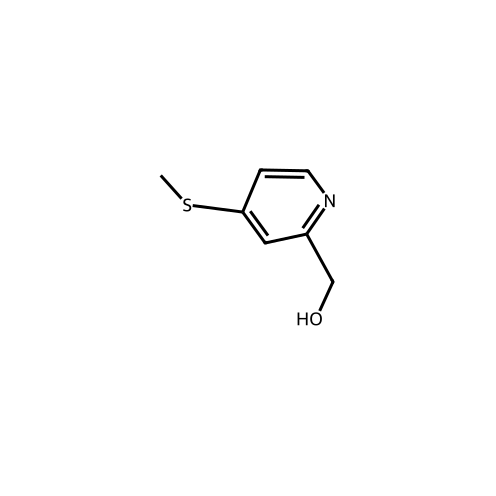 CSc1ccnc(CO)c1